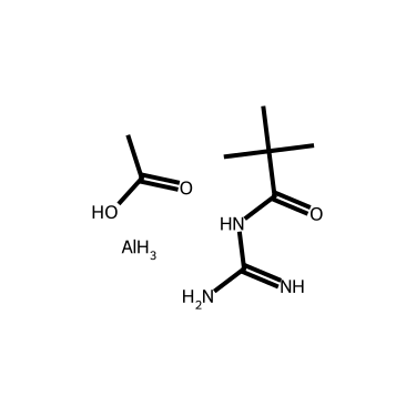 CC(=O)O.CC(C)(C)C(=O)NC(=N)N.[AlH3]